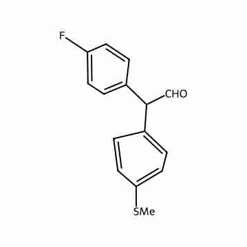 CSc1ccc(C(C=O)c2ccc(F)cc2)cc1